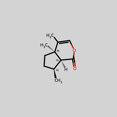 CC1=COC(=O)[C@H]2[C@@H](C)CC[C@@]12C